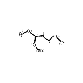 CCOC(CCO[O])OCC